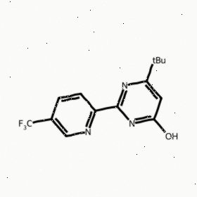 CC(C)(C)c1cc(O)nc(-c2ccc(C(F)(F)F)cn2)n1